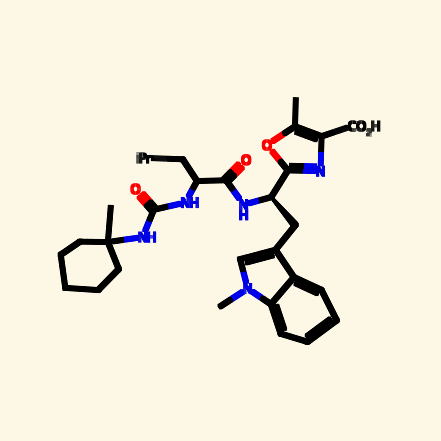 Cc1oc([C@@H](Cc2cn(C)c3ccccc23)NC(=O)C(CC(C)C)NC(=O)NC2(C)CCCCC2)nc1C(=O)O